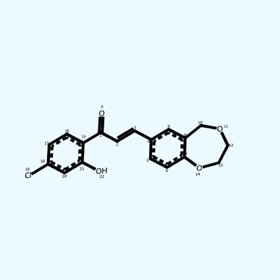 O=C(/C=C/c1ccc2c(c1)COCCO2)c1ccc(Cl)cc1O